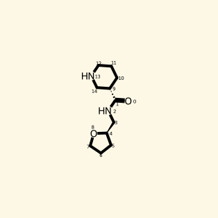 O=C(NC[C@H]1CCCO1)[C@H]1CCCNC1